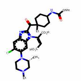 CCN1CCN(c2cc3c(cc2Cl)nc(C(=O)C2(CC)CCC(NC(=O)OC)CC2)n3/C(=C\C(=O)O)C(=O)O)[C@H](C)C1